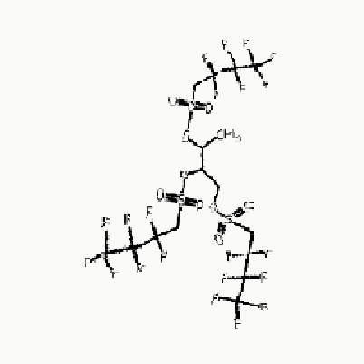 CC(OS(=O)(=O)CC(F)(F)C(F)(F)C(F)(F)F)C(COS(=O)(=O)CC(F)(F)C(F)(F)C(F)(F)F)OS(=O)(=O)CC(F)(F)C(F)(F)C(F)(F)F